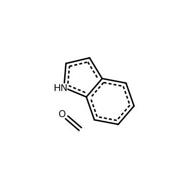 C=O.c1ccc2[nH]ccc2c1